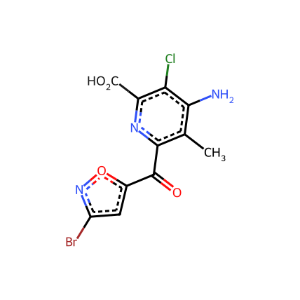 Cc1c(C(=O)c2cc(Br)no2)nc(C(=O)O)c(Cl)c1N